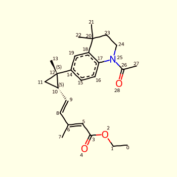 CCOC(=O)C=C(C)C=C[C@@H]1C[C@]1(C)c1ccc2c(c1)C(C)(C)CCN2C(C)=O